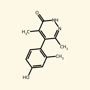 Cc1cc(O)ccc1-c1c(C)n[nH]c(=O)c1C